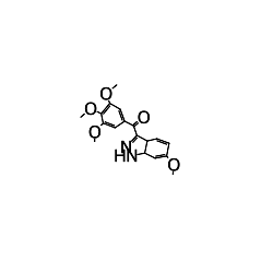 COC1=CC2NN=C(C(=O)c3cc(OC)c(OC)c(OC)c3)C2C=C1